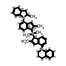 CC1=Cc2c(cccc2N2CCCc3ccccc32)C1S(C)(C)C1C(C)=Cc2c1cccc2N1c2ccccc2CC1C